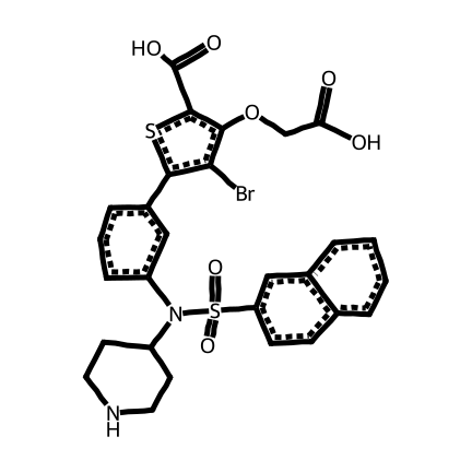 O=C(O)COc1c(C(=O)O)sc(-c2cccc(N(C3CCNCC3)S(=O)(=O)c3ccc4ccccc4c3)c2)c1Br